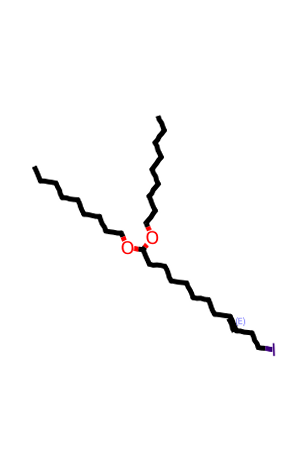 CCCCCCCCCOC(CCCCCCC/C=C/CCI)OCCCCCCCCC